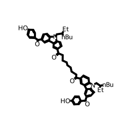 CCCCC(CC)Cn1c2ccc(C(=O)CCCCCCCC(=O)c3ccc4c(c3)c3cc(C(=O)c5ccc(O)cc5)ccc3n4CC(CC)CCCC)cc2c2cc(C(=O)c3ccc(O)cc3)ccc21